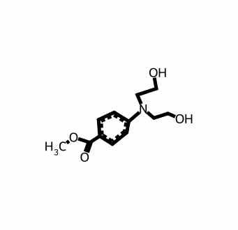 COC(=O)c1ccc(N(CCO)CCO)cc1